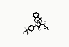 CCOC(=O)c1cn(Cc2ccccc2C(F)(F)F)n(-c2ccc(C(F)(F)F)cc2)c1=O